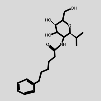 CC(C)[C@@H]1OC(CO)[C@@H](O)C(O)C1NC(=O)CCCCCc1ccccc1